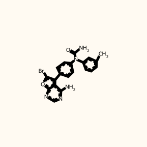 Cc1cccc(N(C(N)=O)c2ccc(-c3c(Br)oc4ncnc(N)c34)cc2)c1